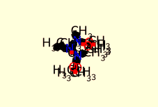 Cc1ccc(N(c2ccc(B3OC(C)(C)C(C)(C)O3)cc2)c2ccc3c(c2)c2cc(N(c4ccc(C)cc4)c4ccc(B5OC(C)(C)C(C)(C)O5)cc4)ccc2n3-c2ccc3c(c2)C(C)(C)c2ccccc2-3)cc1